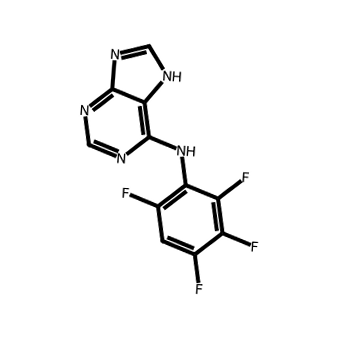 Fc1cc(F)c(Nc2ncnc3nc[nH]c23)c(F)c1F